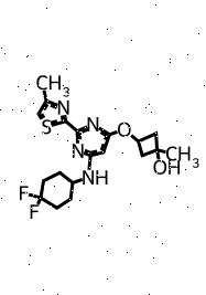 Cc1csc(-c2nc(NC3CCC(F)(F)CC3)cc(OC3CC(C)(O)C3)n2)n1